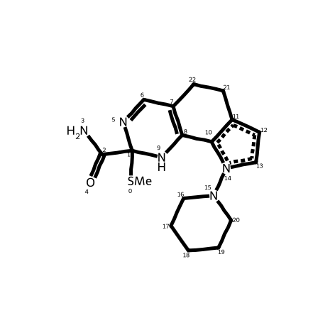 CSC1(C(N)=O)N=CC2=C(N1)c1c(ccn1N1CCCCC1)CC2